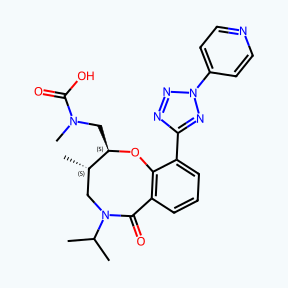 CC(C)N1C[C@H](C)[C@@H](CN(C)C(=O)O)Oc2c(cccc2-c2nnn(-c3ccncc3)n2)C1=O